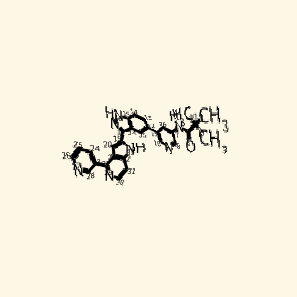 CC(C)(C)C(=O)Nc1cncc(-c2ccc3[nH]nc(-c4cc5c(-c6cccnc6)nccc5[nH]4)c3c2)c1